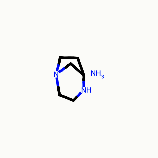 C1CN2CCC(C2)N1.N